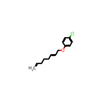 C=CCCCC=CCOc1ccc(Cl)cc1